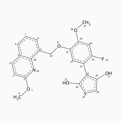 COc1ccc2cccc(COc3cc(-c4c(O)csc4O)c(F)cc3OC)c2n1